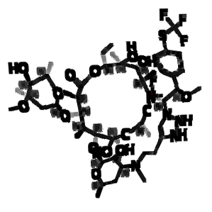 CC[C@H]1OC(=O)[C@H](C)[C@@H](O[C@H]2C[C@@](C)(OC)[C@@H](O)[C@H](C)O2)[C@H](C)[C@@H](O[C@@H]2O[C@H](C)C[C@H](N(C)CCC3=CN([C@H](CF)[C@H](OC)c4ccc(SC(F)(F)F)cc4)NN3)[C@H]2O)[C@](C)(O)C[C@@H](C)CN(C)[C@H](C)[C@@H](O)[C@]1(C)O